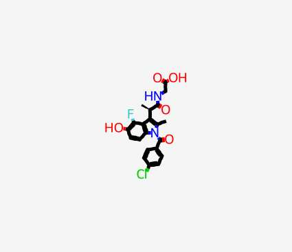 Cc1c([C@@H](C)C(=O)NCC(=O)O)c2c(F)c(O)ccc2n1C(=O)c1ccc(Cl)cc1